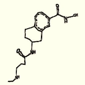 CNCCC(=O)NC1CCc2ccc(C(=O)NO)cc2C1